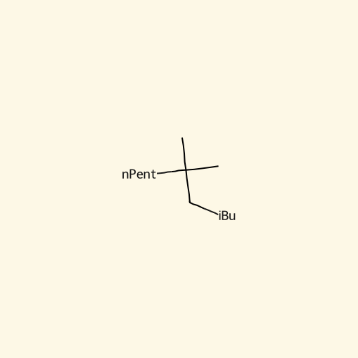 [CH2]CC(C)CC(C)(C)CCCCC